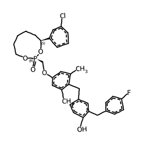 Cc1cc(OC[P@@]2(=O)OCCCCC[C@@H](c3cccc(Cl)c3)O2)cc(C)c1Cc1ccc(O)c(Cc2ccc(F)cc2)c1